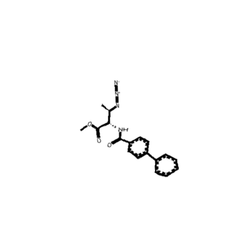 COC(=O)[C@@H](NC(=O)c1ccc(-c2ccccc2)cc1)[C@@H](C)N=[N+]=[N-]